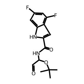 CC(C)(C)OC(C=O)NC(=O)c1cc2c(F)cc(F)cc2[nH]1